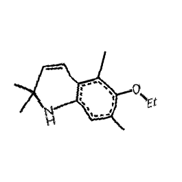 CCOc1c(C)cc2c(c1C)C=CC(C)(C)N2